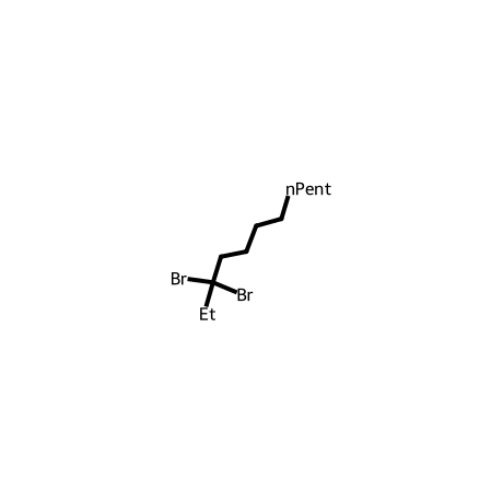 CCCCCCCCCC(Br)(Br)CC